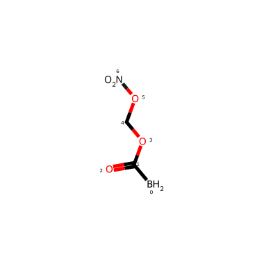 BC(=O)OCO[N+](=O)[O-]